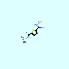 C[C@@H](N[S@+]([O-])C(C)(C)C)c1ccc(C(=N)NO)s1